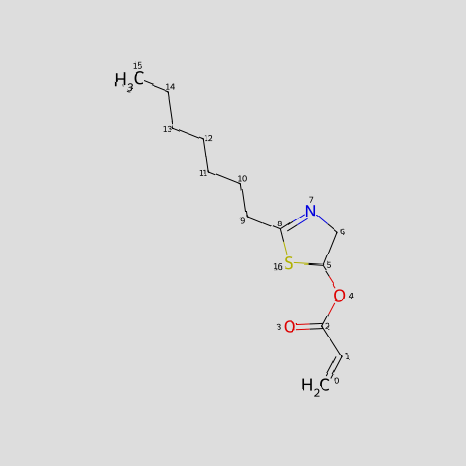 C=CC(=O)OC1CN=C(CCCCCCC)S1